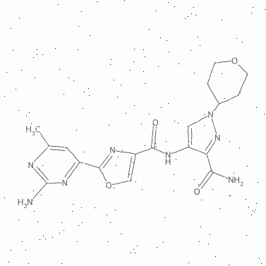 Cc1cc(-c2nc(C(=O)Nc3cn(C4CCOCC4)nc3C(N)=O)co2)nc(N)n1